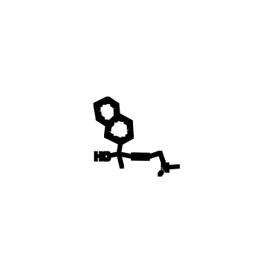 CN(C)CC#CC(C)(O)c1ccc2ccccc2c1